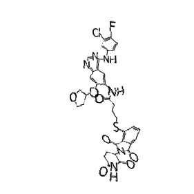 O=C1CCC(N2C(=O)c3cccc(SCCCC(=O)Nc4cc5c(Nc6ccc(F)c(Cl)c6)ncnc5cc4OC4CCOC4)c3C2=O)C(=O)N1